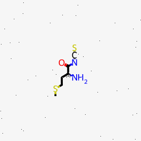 CSCC[C@H](N)C(=O)N=C=S